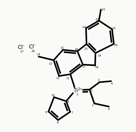 CC[C](CC)=[Ti+2]([C]1=CC=CC1)[c]1cc(C)cc2c1Cc1ccc(C)cc1-2.[Cl-].[Cl-]